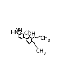 CCCCc1ccc(-c2ccc3[nH]nnc3c2Cl)c(O)c1CCCC